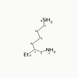 CCC(CN)CCCC[SiH3]